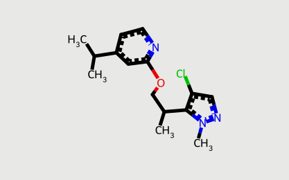 CC(C)c1ccnc(OCC(C)c2c(Cl)cnn2C)c1